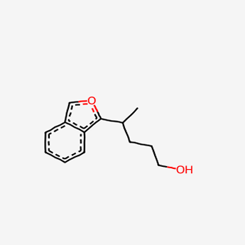 CC(CCCO)c1occ2ccccc12